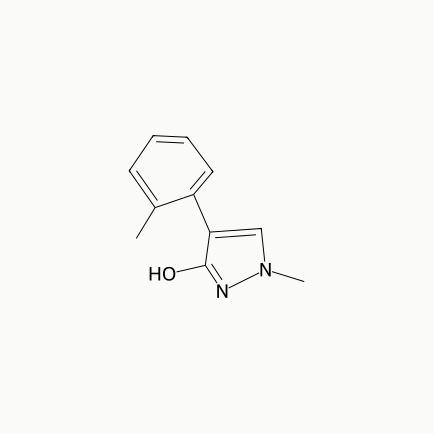 Cc1ccccc1-c1cn(C)nc1O